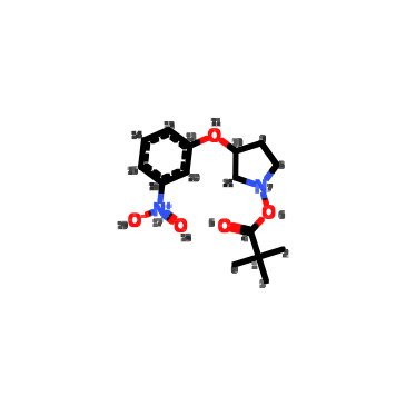 CC(C)(C)C(=O)ON1CCC(Oc2cccc([N+](=O)[O-])c2)C1